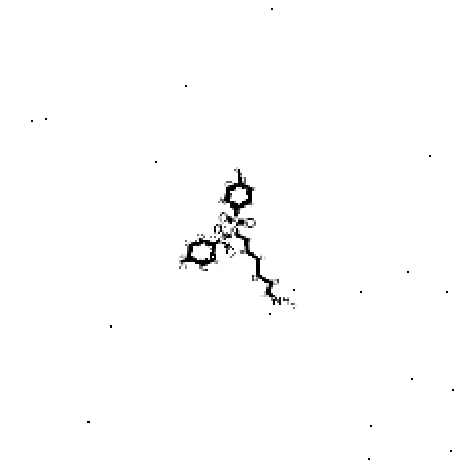 Cc1ccc(S(=O)(=O)N(CCCCCCN)S(=O)(=O)c2ccc(C)cc2)cc1